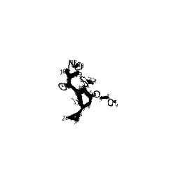 COCCOc1cc(C2CC2)cc(C(=O)c2cnoc2)c1SC